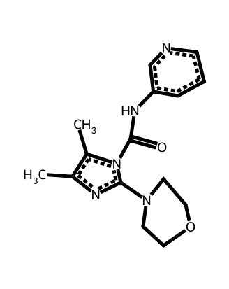 Cc1nc(N2CCOCC2)n(C(=O)Nc2cccnc2)c1C